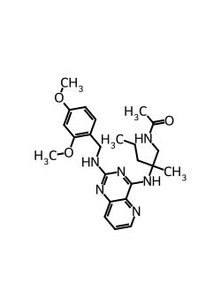 CCCC(C)(CNC(C)=O)Nc1nc(NCc2ccc(OC)cc2OC)nc2cccnc12